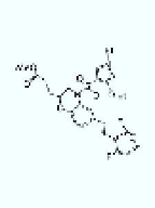 CCOc1nn(CC)cc1S(=O)(=O)N1CC(CCC(=O)OC)Oc2ccc(C=Cc3c(F)cccc3F)cc21